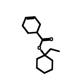 CCC1(OC(=O)C2CC=CCC2)CCCCC1